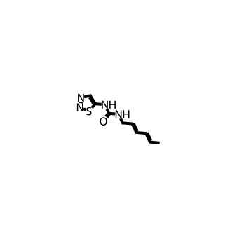 C/C=C/C=C/CNC(=O)Nc1cnns1